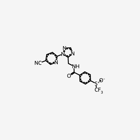 N#Cc1ccc(-n2ncnc2CNC(=O)c2ccc([S+]([O-])C(F)(F)F)cc2)nc1